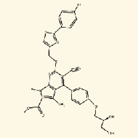 COC(=O)c1c(N)c2c(-c3ccc(OC[C@@H](O)CO)cc3)c(C#N)c(SCc3csc(-c4ccc(Cl)cc4)n3)nc2n1C